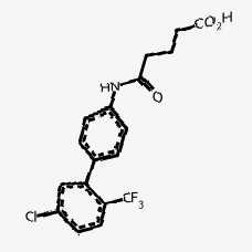 O=C(O)CCCC(=O)Nc1ccc(-c2cc(Cl)[c]cc2C(F)(F)F)cc1